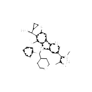 Cc1nnn(C)c1-c1cnc2c3cc(F)c([C@@](C)(O)C4CC4)c(F)c3n([C@H](c3ccccc3)C3CCOCC3)c2c1